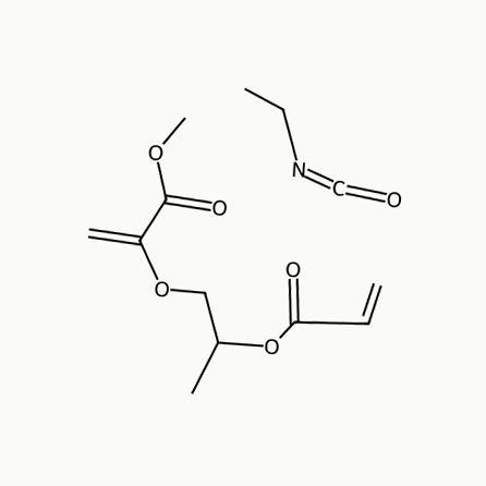 C=CC(=O)OC(C)COC(=C)C(=O)OC.CCN=C=O